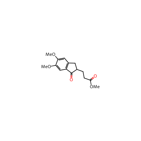 COC(=O)CCC1Cc2cc(OC)c(OC)cc2C1=O